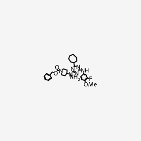 COc1ccc(Nc2nc(C3CCCCCC3)nc(N(N)C3CCN(C(=O)OCc4ccccc4)CC3)n2)cc1F